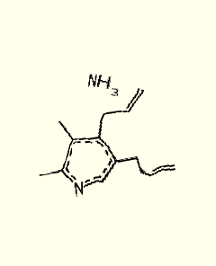 C=CCc1cnc(C)c(C)c1CC=C.N